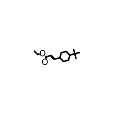 CCOC(=O)C=CC1CCC(C(C)(C)C)CC1